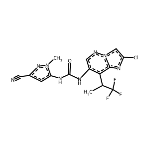 CC(c1c(NC(=O)Nc2cc(C#N)nn2C)cnn2cc(Cl)nc12)C(F)(F)F